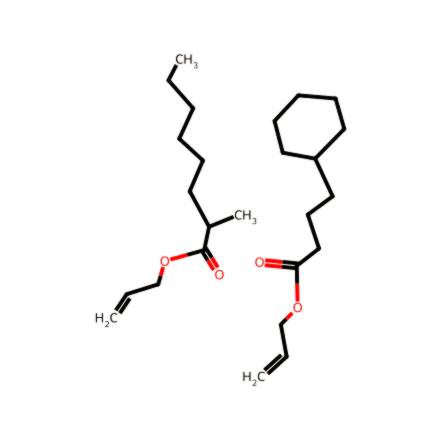 C=CCOC(=O)C(C)CCCCCC.C=CCOC(=O)CCCC1CCCCC1